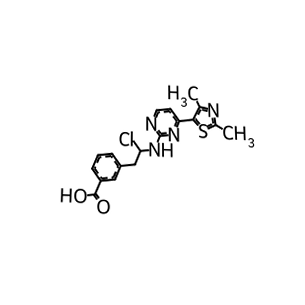 Cc1nc(C)c(-c2ccnc(NC(Cl)Cc3cccc(C(=O)O)c3)n2)s1